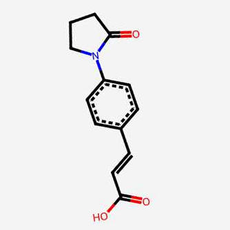 O=C(O)/C=C/c1ccc(N2CCCC2=O)cc1